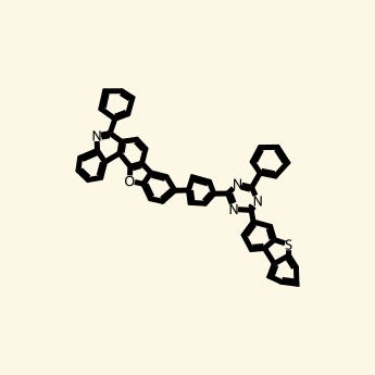 c1ccc(-c2nc(-c3ccc(-c4ccc5oc6c(ccc7c(-c8ccccc8)nc8ccccc8c76)c5c4)cc3)nc(-c3ccc4c(c3)sc3ccccc34)n2)cc1